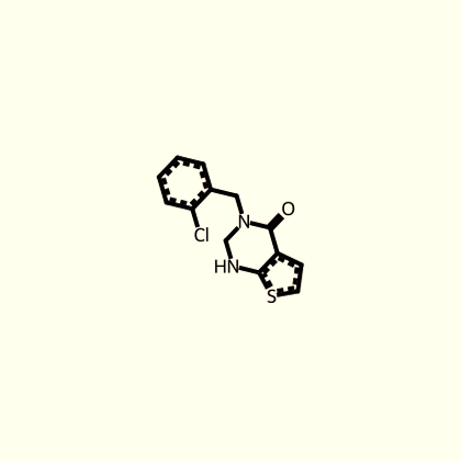 O=C1c2ccsc2NCN1Cc1ccccc1Cl